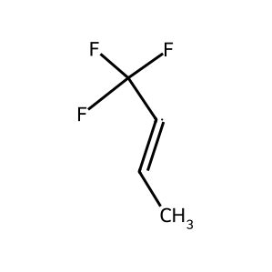 C/C=[C]/C(F)(F)F